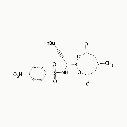 CCCCC#CC(NS(=O)(=O)c1ccc([N+](=O)[O-])cc1)B1OC(=O)CN(C)CC(=O)O1